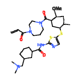 C=CC(=O)N1CCCN(C(=O)C2CC(Sc3cnc(NC(=O)C4CCCC(CN(C)C)C4)s3)C(C)CC2OC)CC1